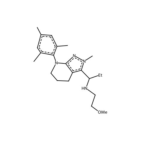 CCC(NCCOC)c1c2c(nn1C)N(c1c(C)cc(C)cc1C)CCC2